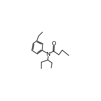 CCCC(=O)N(c1cccc(CC)c1)C(CC)CC